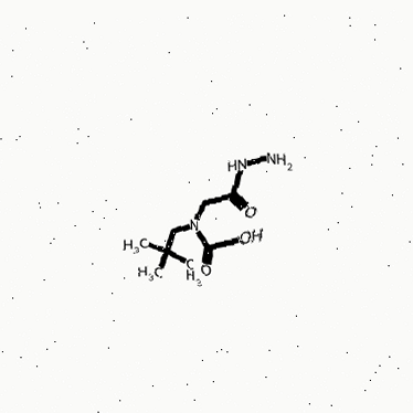 CC(C)(C)CN(CC(=O)NN)C(=O)O